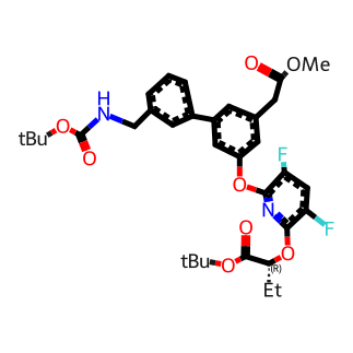 CC[C@@H](Oc1nc(Oc2cc(CC(=O)OC)cc(-c3cccc(CNC(=O)OC(C)(C)C)c3)c2)c(F)cc1F)C(=O)OC(C)(C)C